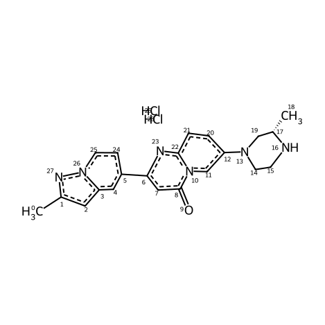 Cc1cc2cc(-c3cc(=O)n4cc(N5CCN[C@@H](C)C5)ccc4n3)ccn2n1.Cl.Cl